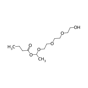 CCCC(=O)OC(C)OCCOCCOCCO